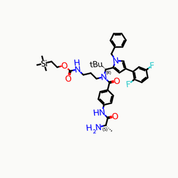 C[C@H](N)C(=O)Nc1ccc(C(=O)N(CCCNC(=O)OCC[Si](C)(C)C)[C@@H](c2cc(-c3cc(F)ccc3F)cn2Cc2ccccc2)C(C)(C)C)cc1